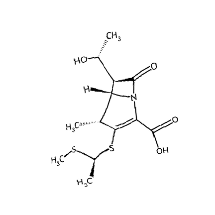 CS[C@H](C)SC1=C(C(=O)O)N2C(=O)[C@H]([C@@H](C)O)[C@H]2[C@H]1C